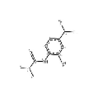 CN(C)C(=O)Nc1ccc(C(F)F)cc1S